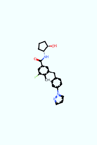 Cc1c(F)cc(C(=O)N[C@@H]2CCC[C@H]2O)cc1Cc1ccc(-n2cccn2)cc1